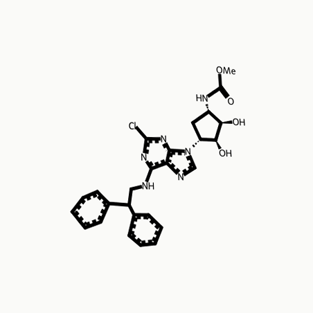 COC(=O)N[C@H]1C[C@@H](n2cnc3c(NCC(c4ccccc4)c4ccccc4)nc(Cl)nc32)[C@H](O)[C@@H]1O